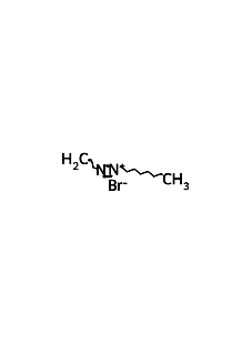 C=CCn1cc[n+](CCCCCCCC)c1.[Br-]